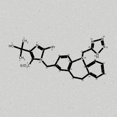 CCCc1nc(C(C)(C)O)c(C(=O)OCC)n1Cc1ccc2c(c1)CCc1ccccc1N2Cc1nnn[nH]1